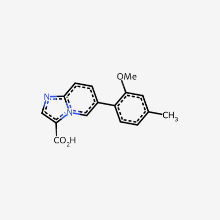 COc1cc(C)ccc1-c1ccc2ncc(C(=O)O)n2c1